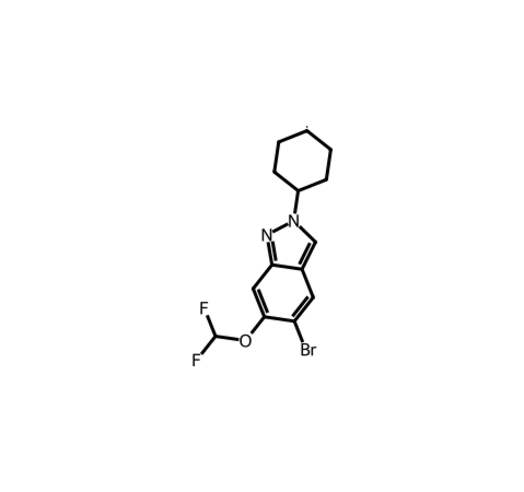 FC(F)Oc1cc2nn(C3CC[CH]CC3)cc2cc1Br